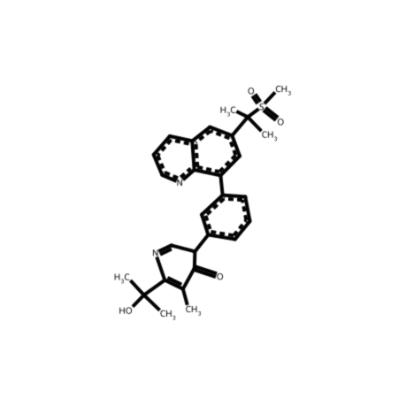 CC1=C(C(C)(C)O)N=CC(c2cccc(-c3cc(C(C)(C)S(C)(=O)=O)cc4cccnc34)c2)C1=O